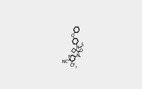 CN(C(=O)C1(N(C=S)c2ccc(Oc3ccccc3)cc2)CCC1)c1cnc(C#N)c(C(F)(F)F)c1